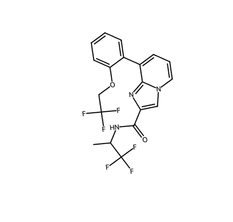 CC(NC(=O)c1cn2cccc(-c3ccccc3OCC(F)(F)F)c2n1)C(F)(F)F